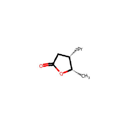 CCC[C@H]1CC(=O)O[C@H]1C